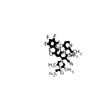 C=CC(=O)N1[C@H](C)CN(C2=C(C#N)C(O)N(C3=C(C)CCN=C3C(C)C)c3nc(-c4c(F)c(F)c(F)c(F)c4F)c(Cl)cc32)C[C@@H]1C